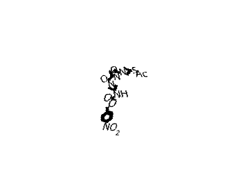 CC(=O)SC1CN(c2nc(C(=O)N3CC(NC(=O)OCc4ccc([N+](=O)[O-])cc4)C3)co2)C1